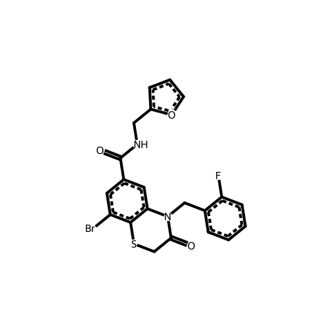 O=C(NCc1ccco1)c1cc(Br)c2c(c1)N(Cc1ccccc1F)C(=O)CS2